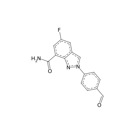 NC(=O)c1cc(F)cc2cn(-c3ccc(C=O)cc3)nc12